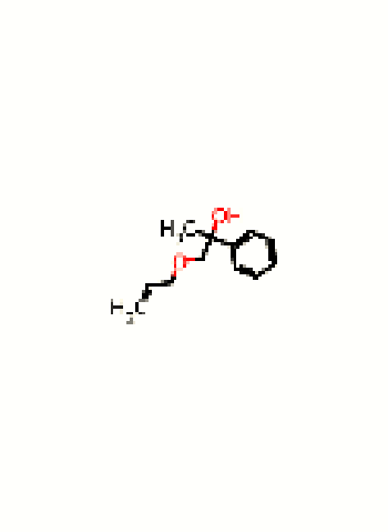 C=CCOCC(C)(O)c1ccccc1